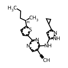 C#Cc1cnc(-c2ccc([C@H](C)CCC)s2)nc1Nc1cc(C2CC2)n[nH]1